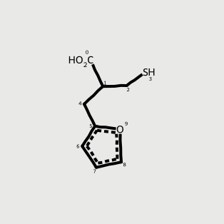 O=C(O)C(CS)Cc1ccco1